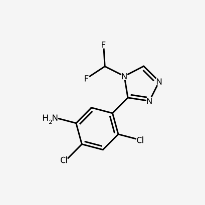 Nc1cc(-c2nncn2C(F)F)c(Cl)cc1Cl